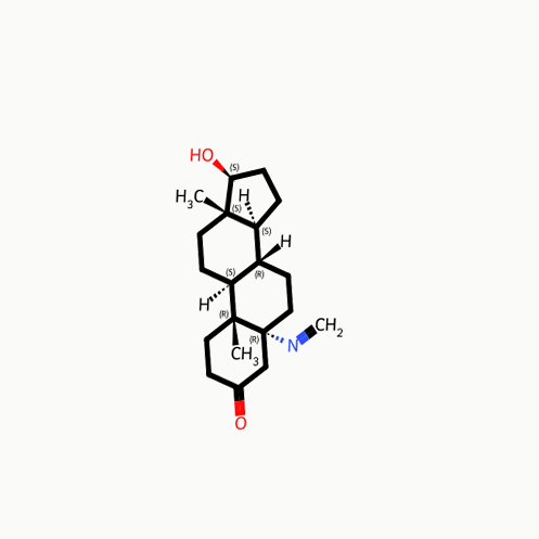 C=N[C@@]12CC[C@H]3[C@@H]4CC[C@H](O)[C@@]4(C)CC[C@@H]3[C@@]1(C)CCC(=O)C2